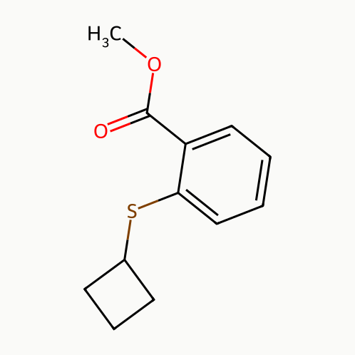 COC(=O)c1ccccc1SC1CCC1